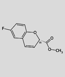 COC(=O)[C@@H]1C=Cc2cc(F)ccc2O1